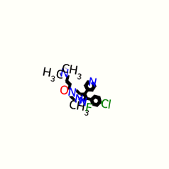 CC1CN(C(=O)/C=C/CN(C)C)Cc2c(-c3ccncc3)c(-c3ccc(Cl)cc3F)nn21